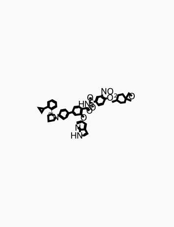 O=C(NS(=O)(=O)c1ccc(OCC2CCC3(CC2)COC3)c([N+](=O)[O-])c1)c1ccc(-c2ccc(N3CCC[C@@H]3c3ccccc3C3CC3)cc2)cc1Oc1cnc2[nH]ccc2c1